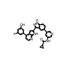 O=C(Nc1cncc(-c2ccc3[nH]nc(-c4cc5c(-c6cc(O)cc(F)c6)ccnc5[nH]4)c3c2)c1)C1CC1